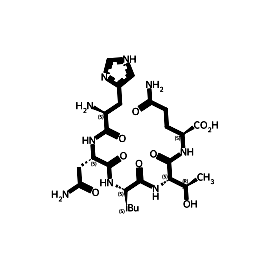 CC[C@H](C)[C@H](NC(=O)[C@H](CC(N)=O)NC(=O)[C@@H](N)Cc1c[nH]cn1)C(=O)N[C@H](C(=O)N[C@@H](CCC(N)=O)C(=O)O)[C@@H](C)O